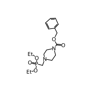 CCOP(=O)(CN1CCN(C(=O)OCc2ccccc2)CC1)OCC